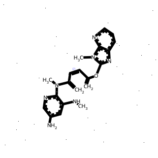 C=C(/C=C\C(=C)N(C)c1ncc(N)cc1NC)Oc1nc2cccnc2n1C